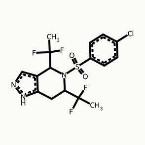 CC(F)(F)C1Cc2[nH]ncc2C(C(C)(F)F)N1S(=O)(=O)c1ccc(Cl)cc1